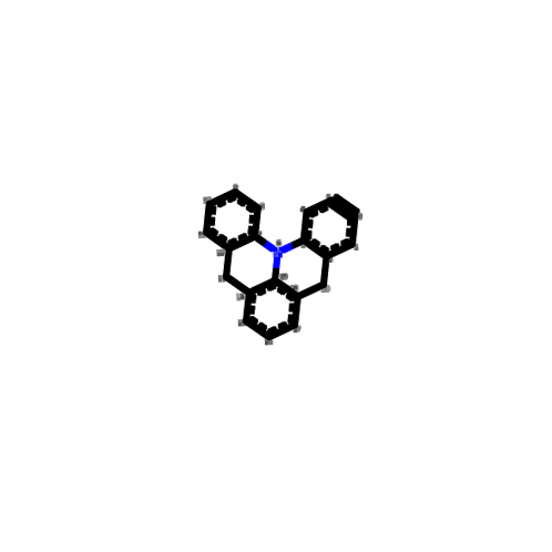 c1cc2c(cc#1)N1c3ccccc3Cc3cccc(c31)C2